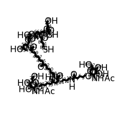 CC(=O)NC1[C@H](OCCCCC(=O)NCCCC[C@H](CC(=O)CCCCO[C@@H]2OC(CO)[C@H](O)[C@H](O)C2NC(C)=O)C(=O)NCCCCCC(=O)CCCCCCC(=O)N2C[C@H](O)CC2COP(=O)(O)O[C@@H]2CC(COP(=O)(S)OCCO)N(C(=O)CCCS)C2)OC(CO)C(O)[C@H]1O